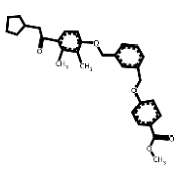 COC(=O)c1ccc(OCc2cccc(COc3ccc(C(=O)CC4CCCC4)c(C)c3C)c2)cc1